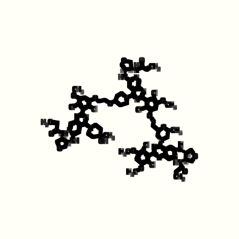 C=CC(=O)N[C@H]1COC[C@H]1Nc1cc2c(N3CC(C)OC(CCOc4cc(OC)c(Cl)c(-c5nc(N6CCC(OCCOc7cc(OC)c(Cl)c(-c8nc(N9CCC(C)(O)CC9)c9cc(N[C@@H]%10COC[C@@H]%10NC(=O)C=C)ncc9n8)c7Cl)CC6)c6cc(N[C@@H]7COC[C@@H]7NC(=O)C=C)ncc6n5)c4Cl)C3)nc(-c3c(Cl)c(OC)cc(OC)c3Cl)nc2cn1